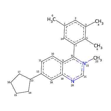 Cc1cc(C)c(C)c(-c2c3ccc(C4CCCC4)cc3nc[n+]2C)c1